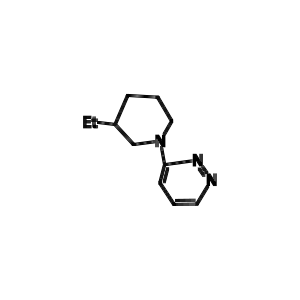 CCC1CCCN(c2cccnn2)C1